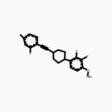 CCCCOc1ccc(C2CCC(C#Cc3ccc(C)cc3F)CC2)c(F)c1F